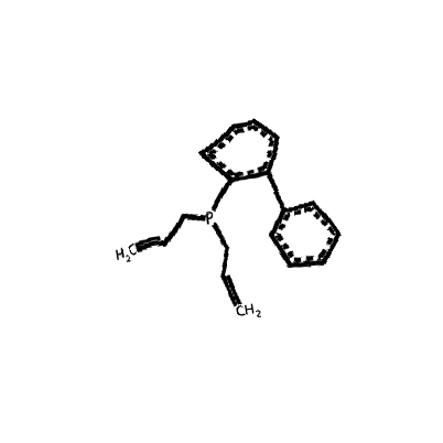 C=CCP(CC=C)c1ccccc1-c1ccccc1